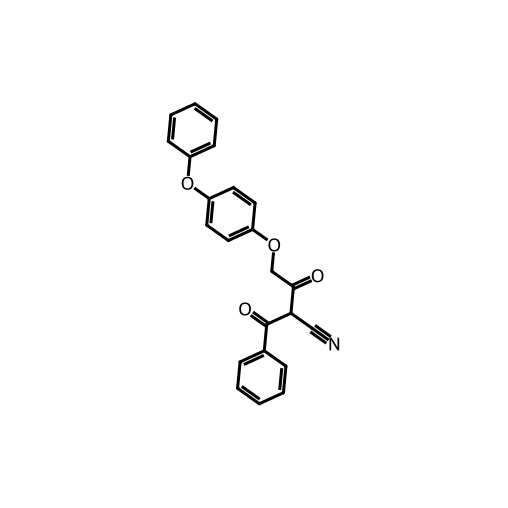 N#CC(C(=O)COc1ccc(Oc2ccccc2)cc1)C(=O)c1ccccc1